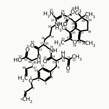 C=CCOc1ccc(C[C@H](NC(C)=O)C(=O)N[C@H](CCCNC(N)=NS(=O)(=O)C2=C3C(C)=C(C)OC(C)=C3CCC2(C)C)C(=O)N[C@H](CC=C)C(=O)O)cc1